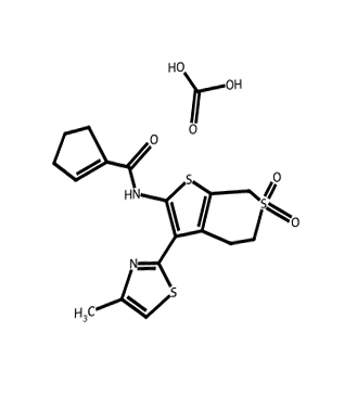 Cc1csc(-c2c(NC(=O)C3=CCCC3)sc3c2CCS(=O)(=O)C3)n1.O=C(O)O